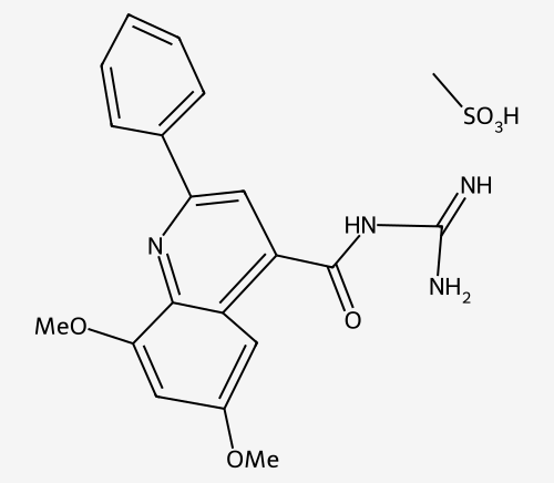 COc1cc(OC)c2nc(-c3ccccc3)cc(C(=O)NC(=N)N)c2c1.CS(=O)(=O)O